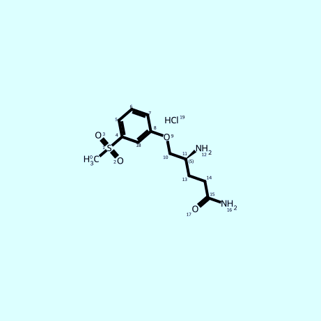 CS(=O)(=O)c1cccc(OC[C@@H](N)CCC(N)=O)c1.Cl